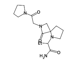 CCC(C(N)=O)N1CCCC12CN(CC(=O)N1CCCC1)C2=O